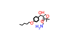 CCCCCOc1ccc([C@H](O)[C@H]2COC(C)(C)B2OCN)cc1